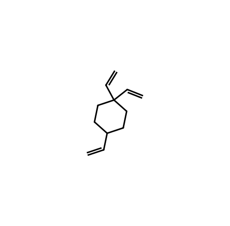 C=CC1CCC(C=C)(C=C)CC1